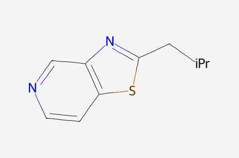 CC(C)Cc1nc2cnccc2s1